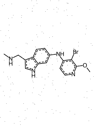 CNCc1c[nH]c2cc(Nc3ccnc(OC)c3Br)ccc12